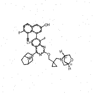 C#Cc1c(F)ccc2cc(O)cc(-c3ccc4c(N5CC6CCC(C5)N6)nc(OCC5(CN6C[C@@H]7C[C@H]6CO7)CC5)nc4c3F)c12